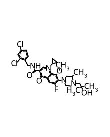 COc1c(N2CCN(CC(C)(C)O)C(C)C2)c(F)cc2c(=O)c(C(=O)NCc3ccc(Cl)cc3Cl)cn(C3CC3)c12